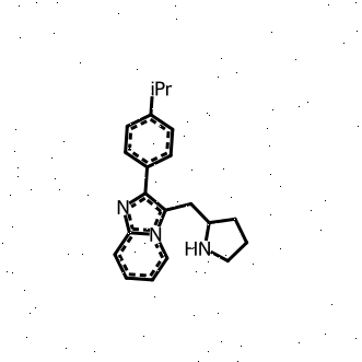 CC(C)c1ccc(-c2nc3ccccn3c2CC2CCCN2)cc1